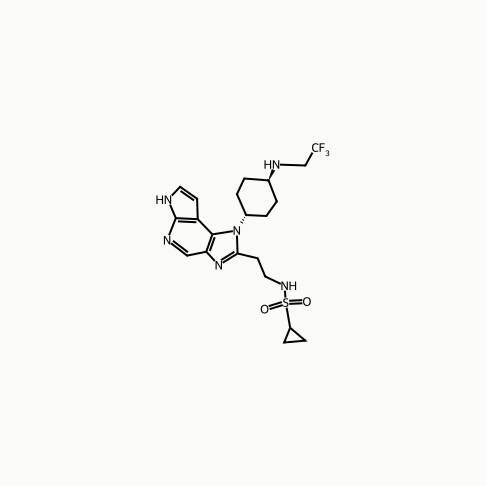 O=S(=O)(NCCc1nc2cnc3[nH]ccc3c2n1[C@H]1CC[C@H](NCC(F)(F)F)CC1)C1CC1